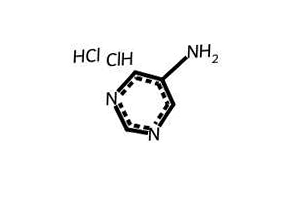 Cl.Cl.Nc1cncnc1